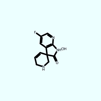 Cl.O=C1Nc2ncc(F)cc2C12C=CCNC2